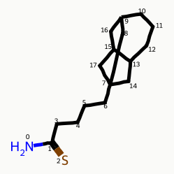 NC(=S)CCCCC12CC3CCCC(C1)C(C3)C2